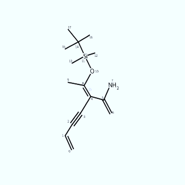 C=CC#C/C(C(=C)N)=C(\C)O[Si](C)(C)C(C)(C)C